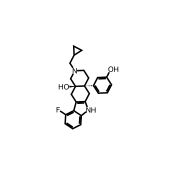 Oc1cccc([C@@]23CCN(CC4CC4)C[C@@]2(O)Cc2c([nH]c4cccc(F)c24)C3)c1